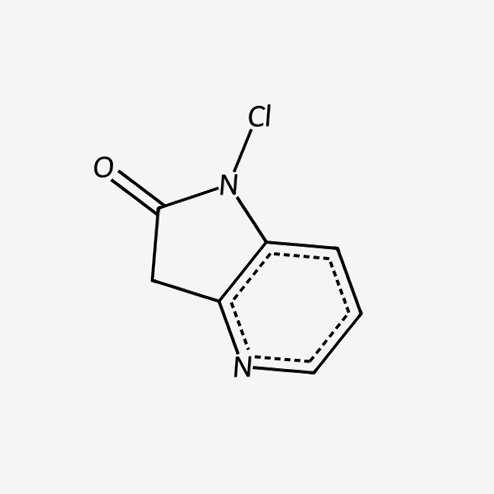 O=C1Cc2ncccc2N1Cl